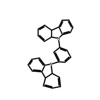 C1=CC2c3ccccc3N(c3cccc(N4c5ccccc5C5C=CC=CC54)c3)C2C=C1